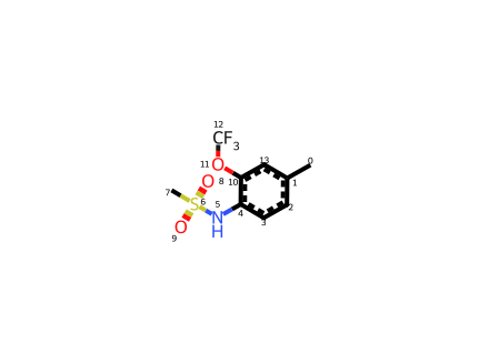 Cc1ccc(NS(C)(=O)=O)c(OC(F)(F)F)c1